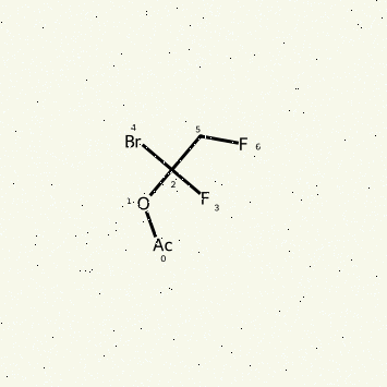 CC(=O)OC(F)(Br)CF